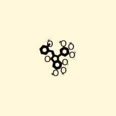 COc1ccccc1/C=C1\C(=O)c2cc(OC)c(OC)c(OC)c2C1c1cc(OC)c(OC)c(OC)c1